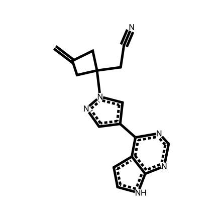 C=C1CC(CC#N)(n2cc(-c3ncnc4[nH]ccc34)cn2)C1